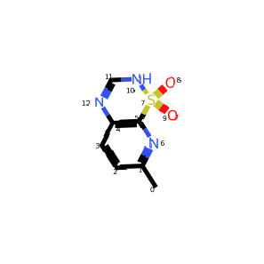 Cc1ccc2c(n1)S(=O)(=O)NC=N2